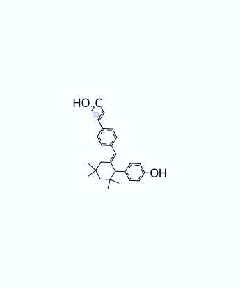 CC1(C)CC(=Cc2ccc(/C=C/C(=O)O)cc2)C(c2ccc(O)cc2)C(C)(C)C1